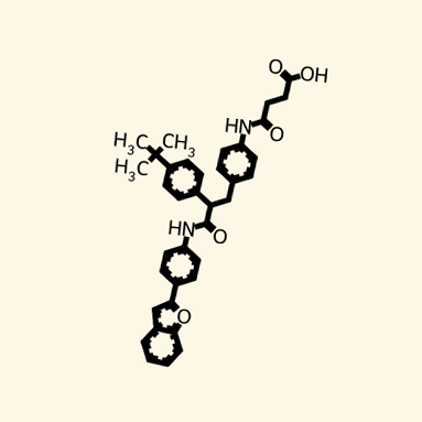 CC(C)(C)c1ccc(C(Cc2ccc(NC(=O)CCC(=O)O)cc2)C(=O)Nc2ccc(-c3cc4ccccc4o3)cc2)cc1